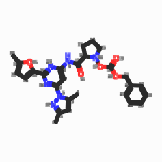 Cc1cc(C)n(-c2cc(NC(=O)C3CCCN3OC(=O)OCc3ccccc3)nc(-c3ccc(C)o3)n2)n1